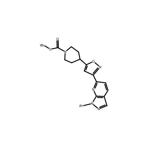 CC(C)n1ncc2ccc(-c3cc(C4CCN(C(=O)OC(C)(C)C)CC4)on3)nc21